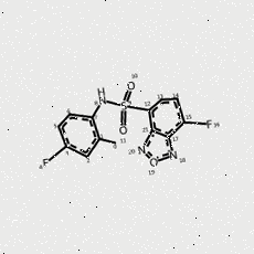 Cc1cc(F)ccc1NS(=O)(=O)c1ccc(F)c2nonc12